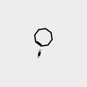 C1=CCCCCCC1.O=[P]